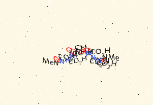 CNC(=O)CN(CCN(CCN(CC(=O)O)CC(=O)OCC(C)(C)COC(=O)CN(CCN(CCN(CC(=O)NC)C(=O)O)CC(=O)O)CC(=O)O)CC(=O)O)CC(=O)O